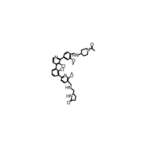 COc1cc(-c2nccc(-c3cccc(-c4ccc(CNCC5CCC(=O)N5)c(OC)n4)c3Cl)c2Cl)ccc1CNC1CCN(C(C)=O)CC1